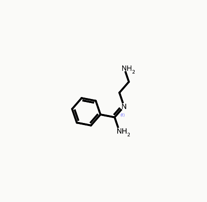 NCC/N=C(/N)c1ccccc1